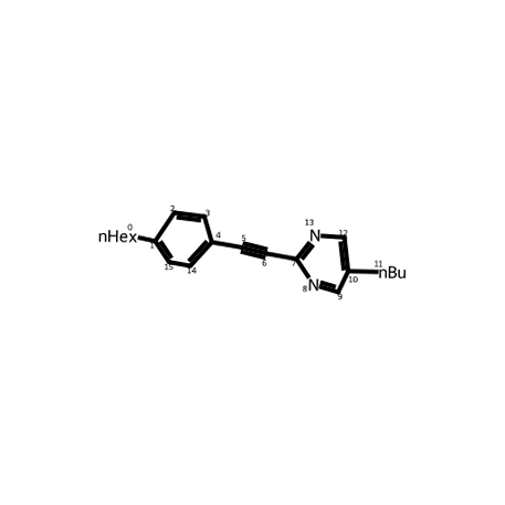 CCCCCCc1ccc(C#Cc2ncc(CCCC)cn2)cc1